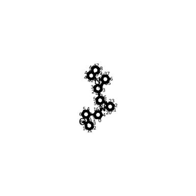 c1cc(-c2cccc3oc4ccccc4c23)cc(-n2c3ccccc3c3cc(-c4ccc5c(c4)c4ccccc4n5-c4cccc5ccccc45)ccc32)c1